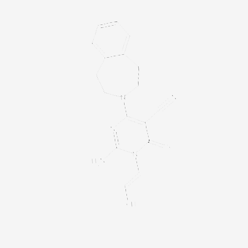 CC=Cn1c(N)nc(N2CCc3ccccc3CC2)c(C#N)c1=O